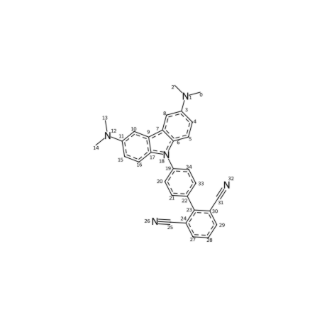 CN(C)c1ccc2c(c1)c1cc(N(C)C)ccc1n2-c1ccc(-c2c(C#N)cccc2C#N)cc1